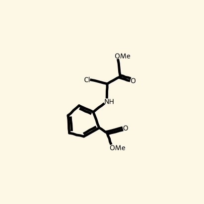 COC(=O)c1ccccc1NC(Cl)C(=O)OC